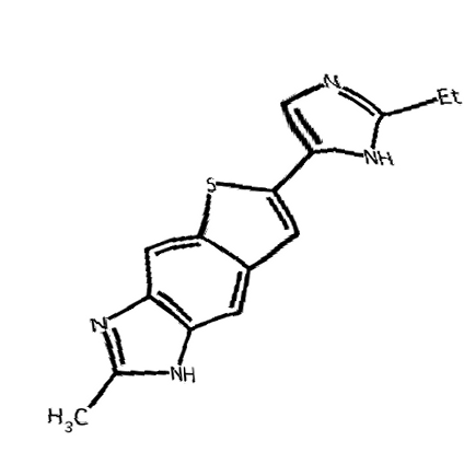 CCc1ncc(-c2cc3cc4[nH]c(C)nc4cc3s2)[nH]1